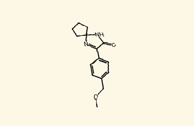 COCc1ccc(C2=NC3(CCCC3)NC2=O)cc1